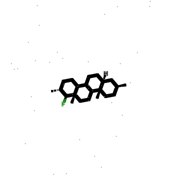 C[C@H]1CC[C@]2(C)C3CC[C@@]4(C)C(CC[C@@H](C)[C@@H]4F)C3CC[C@H]2C1